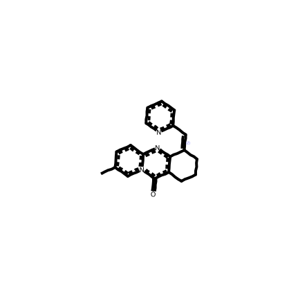 Cc1ccc2nc3c(c(=O)n2c1)CCC/C3=C/c1ccccn1